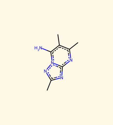 Cc1nc2nc(C)c(C)c(N)n2n1